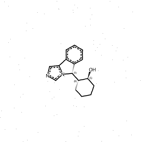 O[C@H]1CCCC[C@@H]1[C@H]1c2ccccc2-c2cncn21